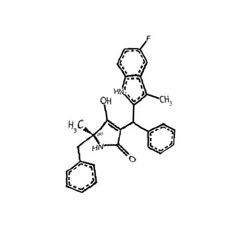 Cc1c(C(C2=C(O)[C@@](C)(Cc3ccccc3)NC2=O)c2ccccc2)[nH]c2ccc(F)cc12